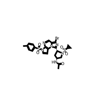 CC(=O)N[C@@H]1C[C@H](c2nc(Br)c3cnc4c(ccn4S(=O)(=O)c4ccc(C)cc4)n23)N(S(=O)(=O)C2CC2)C1